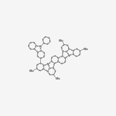 CC(C)(C)c1ccc2c(c1)c1cc(C(C)(C)C)cc3c4c5ccc6c(c5ccc4n2c13)c1cc(C(C)(C)C)cc2c3cc(C(C)(C)C)cc(-c4ccc5c(c4)c4ccccc4n5-c4ccccc4)c3n6c21